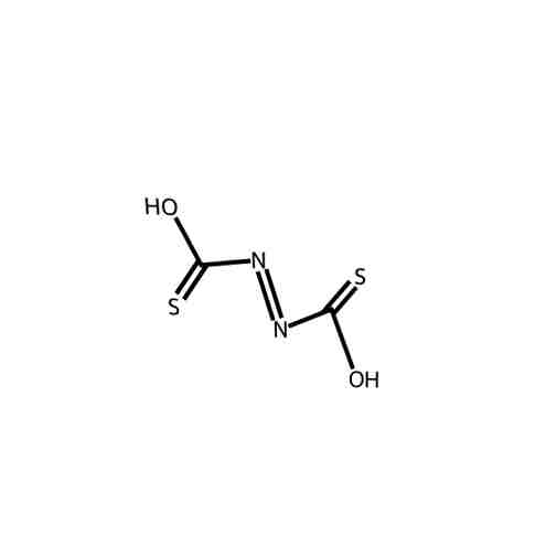 OC(=S)N=NC(O)=S